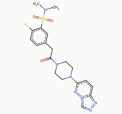 CN(C)S(=O)(=O)c1cc(CC(=O)N2CCN(c3ccc4nncn4n3)CC2)ccc1F